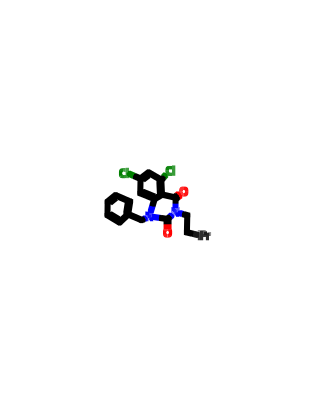 CC(C)CCn1c(=O)c2c(Cl)cc(Cl)cc2n(Cc2ccccc2)c1=O